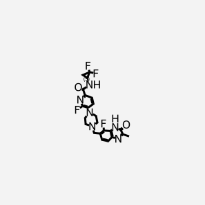 Cc1nc2ccc(CN3CCN(c4ccc(C(=O)N[C@H]5CC5(F)F)nc4F)CC3)c(F)c2[nH]c1=O